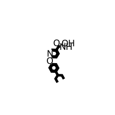 CCC(CC)c1ccc(Oc2ccc(C(=O)NO)cn2)cc1